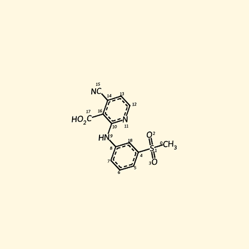 CS(=O)(=O)c1cccc(Nc2nccc(C#N)c2C(=O)O)c1